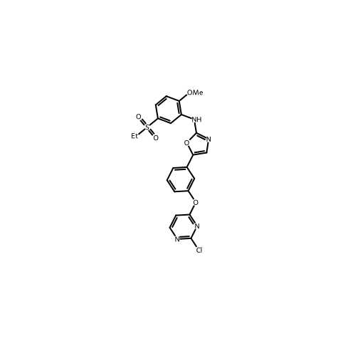 CCS(=O)(=O)c1ccc(OC)c(Nc2ncc(-c3cccc(Oc4ccnc(Cl)n4)c3)o2)c1